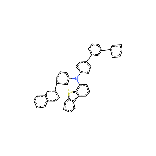 c1ccc(-c2cccc(-c3ccc(N(c4cccc(-c5ccc6ccccc6c5)c4)c4cccc5c4sc4ccccc45)cc3)c2)cc1